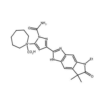 CCN1C(=O)C(C)(C)c2cc3[nH]c(-c4[c]c([N+]5(C(=O)O)CCCCCC5)n(C(N)=O)n4)nc3cc21